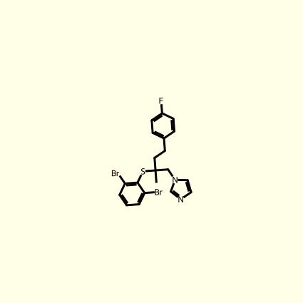 CC(CCc1ccc(F)cc1)(Cn1ccnc1)Sc1c(Br)cccc1Br